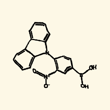 O=[N+]([O-])c1cc(B(O)O)ccc1-n1c2ccccc2c2ccccc21